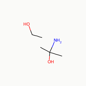 CC(C)(N)O.CCO